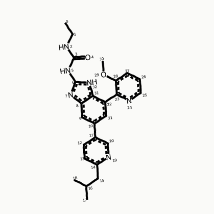 CCNC(=O)Nc1nc2cc(-c3ccc(CC(C)C)nc3)cc(-c3ncccc3OC)c2[nH]1